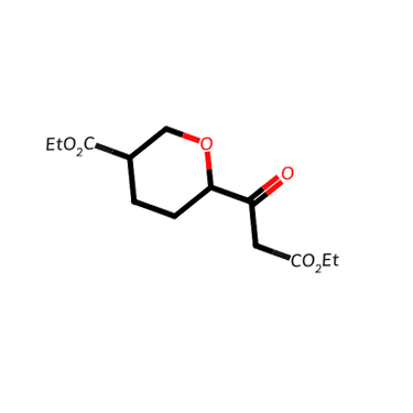 CCOC(=O)CC(=O)C1CCC(C(=O)OCC)CO1